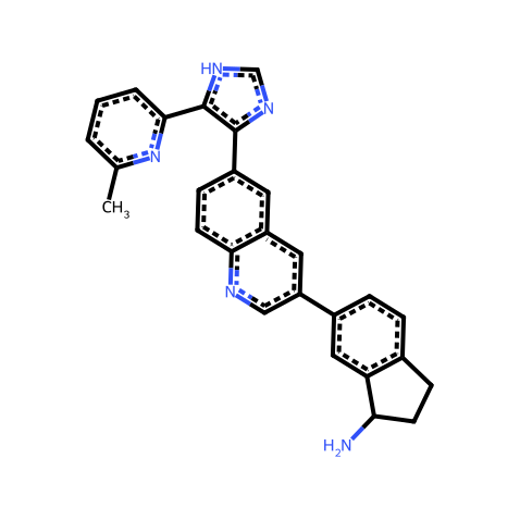 Cc1cccc(-c2[nH]cnc2-c2ccc3ncc(-c4ccc5c(c4)C(N)CC5)cc3c2)n1